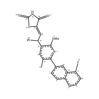 COc1nc(-c2ccc3cccc(F)c3c2)c(C)cc1C(C=C1OC(=O)NC1=O)C(C)C